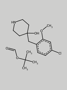 CC(C)(C)OC=O.COc1cc(Cl)ccc1CC1(O)CCNCC1